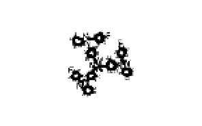 Fc1ccc(-c2nc3ccccc3n2-c2ccc(-c3nc(-c4ccc(-n5c(-c6ccc(F)cc6)nc6ccccc65)cc4)nc(-c4ccc(-n5c(-c6ccc(F)cc6)nc6ccccc65)cc4)n3)cc2)cc1